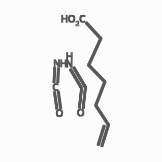 C=CCCCCC(=O)O.N=C=O.N=C=O